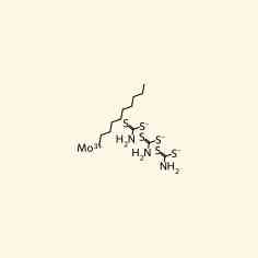 CCCCCCCCC[CH2][Mo+3].NC(=S)[S-].NC(=S)[S-].NC(=S)[S-]